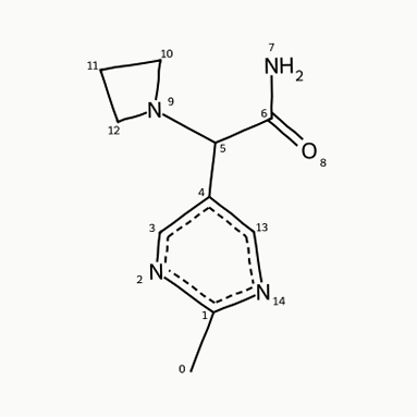 Cc1ncc(C(C(N)=O)N2CCC2)cn1